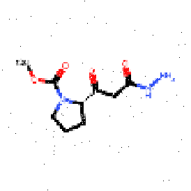 CC(C)(C)OC(=O)N1CCC[C@H]1C(=O)CC(=O)NN